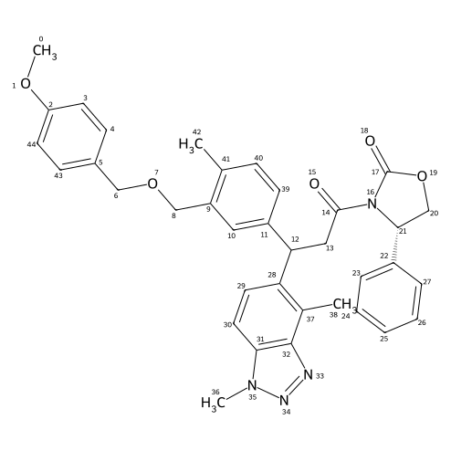 COc1ccc(COCc2cc(C(CC(=O)N3C(=O)OC[C@@H]3c3ccccc3)c3ccc4c(nnn4C)c3C)ccc2C)cc1